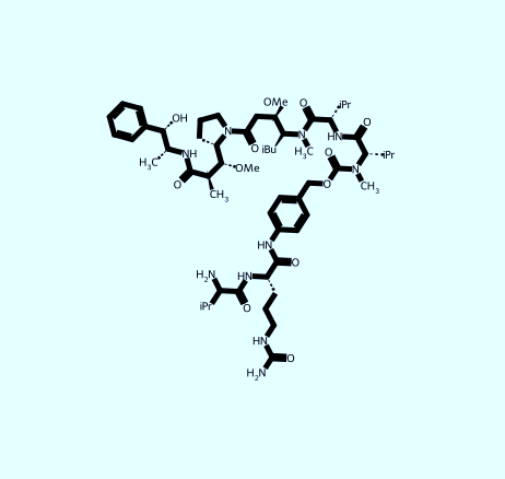 CC[C@H](C)C([C@@H](CC(=O)N1CCC[C@H]1[C@H](OC)[C@@H](C)C(=O)N[C@H](C)[C@@H](O)c1ccccc1)OC)N(C)C(=O)[C@@H](NC(=O)[C@H](C(C)C)N(C)C(=O)OCc1ccc(NC(=O)[C@H](CCCNC(N)=O)NC(=O)C(N)C(C)C)cc1)C(C)C